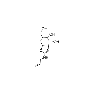 C=CCNC1=NC2C(CC(CO)C(O)C2O)O1